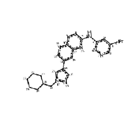 CC(C)c1cnnc(Nc2ccc3ncc(-c4cnn(CC5CCCCC5)c4)cc3n2)c1